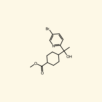 COC(=O)C1CCC(C(C)(O)c2ccc(Br)cn2)CC1